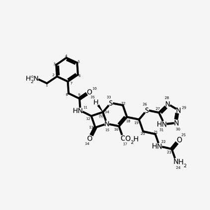 NCc1ccccc1CC(=O)NC1C(=O)N2C(C(=O)O)=C(C(CCNC(N)=O)Sc3nnn[nH]3)CS[C@@H]12